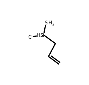 C=CC[SiH]([SiH3])Cl